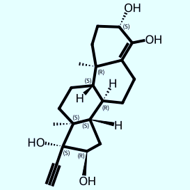 C#C[C@]1(O)[C@H](O)C[C@H]2[C@@H]3CCC4=C(O)[C@@H](O)CC[C@]4(C)[C@H]3CC[C@@]21C